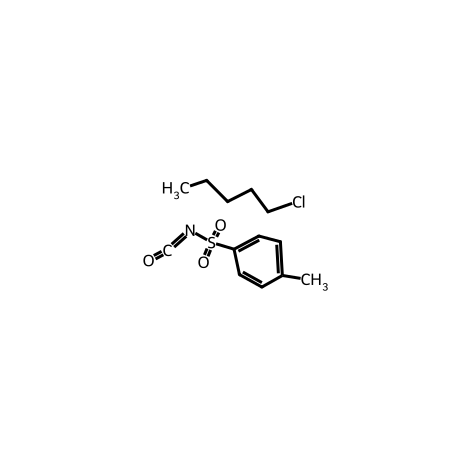 CCCCCCl.Cc1ccc(S(=O)(=O)N=C=O)cc1